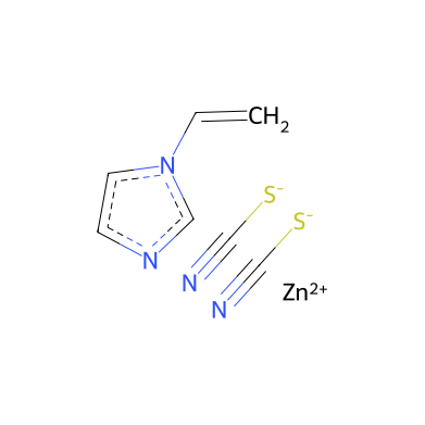 C=Cn1ccnc1.N#C[S-].N#C[S-].[Zn+2]